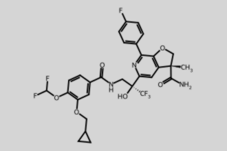 C[C@]1(C(N)=O)COc2c1cc([C@@](O)(CNC(=O)c1ccc(OC(F)F)c(OCC3CC3)c1)C(F)(F)F)nc2-c1ccc(F)cc1